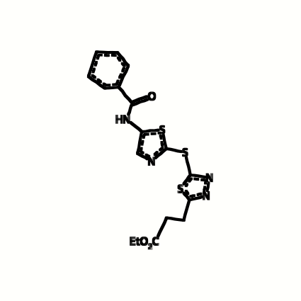 CCOC(=O)CCc1nnc(Sc2ncc(NC(=O)c3ccccc3)s2)s1